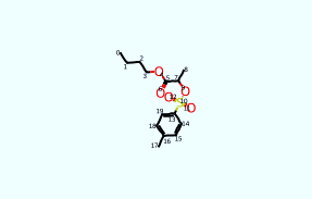 CCCCOC(=O)C(C)OS(=O)(=O)c1ccc(C)cc1